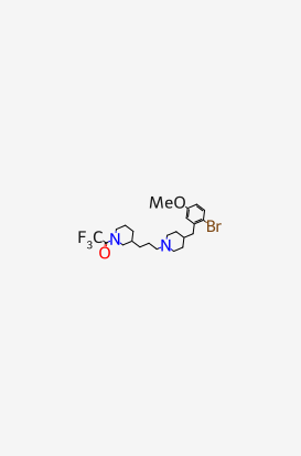 COc1ccc(Br)c(CC2CCN(CCCC3CCCN(C(=O)C(F)(F)F)C3)CC2)c1